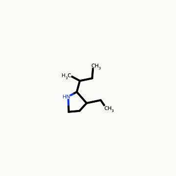 CCC(C)C1NCCC1CC